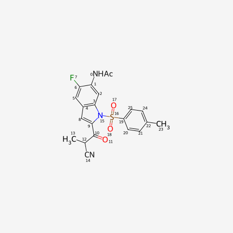 CC(=O)Nc1cc2c(cc1F)cc(C(=O)C(C)C#N)n2S(=O)(=O)c1ccc(C)cc1